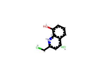 Cl.Oc1cccc2ccc(CCl)nc12